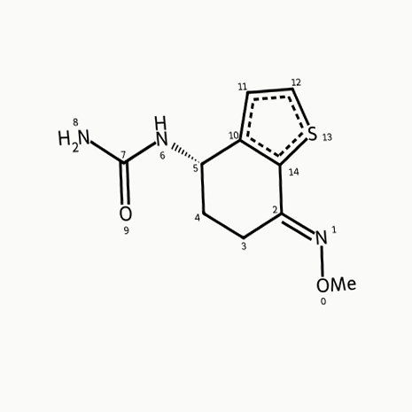 CON=C1CC[C@H](NC(N)=O)c2ccsc21